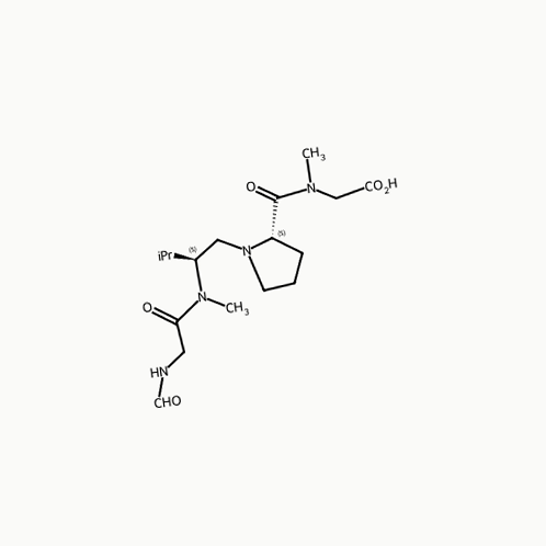 CC(C)[C@@H](CN1CCC[C@H]1C(=O)N(C)CC(=O)O)N(C)C(=O)CNC=O